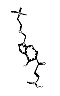 CON(C)/C=C/C(=O)c1cnc2c(ccn2COCC[Si](C)(C)C)c1Cl